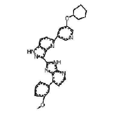 COc1cccc(-c2ccnc3[nH]c(-c4n[nH]c5ccc(-c6cncc(OC7CCCCC7)c6)nc45)nc23)c1